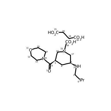 CC(C)CN[C@H]1C[C@@H](C(=O)N2CCOCC2)CN(C(=O)O)C1.O=C(O)CCC(=O)O